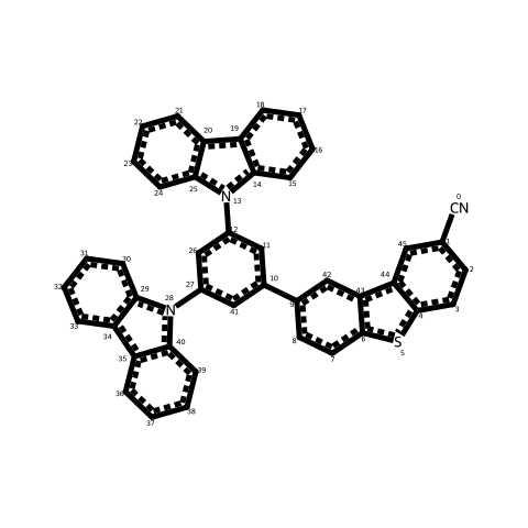 N#Cc1ccc2sc3ccc(-c4cc(-n5c6ccccc6c6ccccc65)cc(-n5c6ccccc6c6ccccc65)c4)cc3c2c1